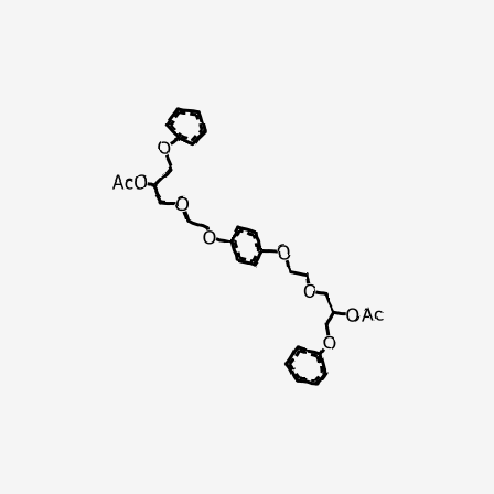 CC(=O)OC(COCCOc1ccc(OCCOCC(COc2ccccc2)OC(C)=O)cc1)COc1ccccc1